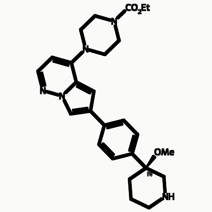 CCOC(=O)N1CCN(c2ccnn3cc(-c4ccc([C@@]5(OC)CCCNC5)cc4)cc23)CC1